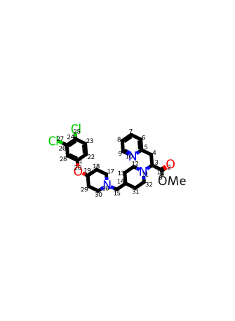 COC(=O)C(Cc1ccccn1)N1CCC(CN2CCC(Oc3ccc(Cl)c(Cl)c3)CC2)CC1